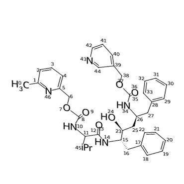 Cc1cccc(COC(=O)NC(C(=O)N[C@@H](Cc2ccccc2)[C@@H](O)C[C@H](Cc2ccccc2)NC(=O)OCc2cccnc2)C(C)C)n1